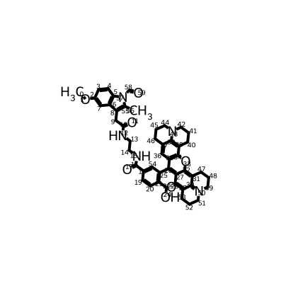 COc1ccc2c(c1)c(CC(=O)NCCNC(=O)c1ccc(C(=O)O)c(C3=c4cc5c6c(c4Oc4c3cc3c7c4CCCN7CCC3)CCC[N+]=6CCC5)c1)c(C)n2C=O